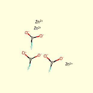 [O-]B([O-])F.[O-]B([O-])F.[O-]B([O-])F.[Zn+2].[Zn+2].[Zn+2]